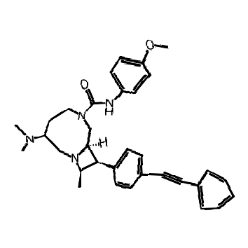 COc1ccc(NC(=O)N2CCC(N(C)C)CN3[C@H](C)[C@H](c4ccc(C#Cc5ccccc5)cc4)[C@@H]3C2)cc1